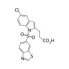 O=C(O)CCc1cc2cc(Cl)ccc2n1S(=O)(=O)c1ccc2ncsc2c1